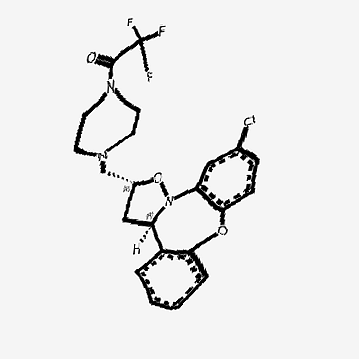 O=C(N1CCN(C[C@H]2C[C@@H]3c4ccccc4Oc4ccc(Cl)cc4N3O2)CC1)C(F)(F)F